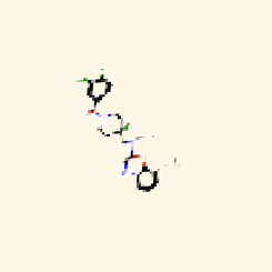 Cc1cccc2c1OC(N(C)CC1(F)CCN(C(=O)c3ccc(F)c(Cl)c3)CC1)CN2